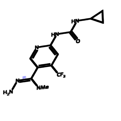 CN/C(=N\N)c1cnc(NC(=O)NC2CC2)cc1C(F)(F)F